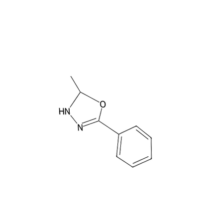 CC1NN=C(c2ccccc2)O1